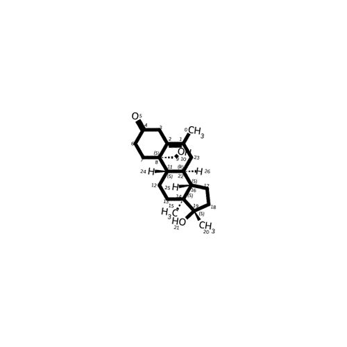 CC1=C2CC(=O)CC[C@]2(CO)[C@H]2CC[C@@]3(C)[C@@H](CC[C@]3(C)O)[C@@H]2C1